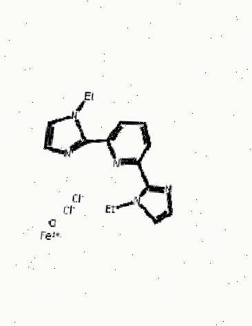 CCn1ccnc1-c1cccc(-c2nccn2CC)n1.[Cl-].[Cl-].[Cl-].[Fe+3]